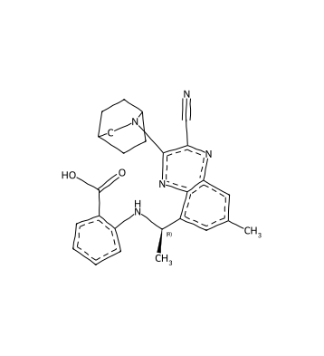 Cc1cc([C@@H](C)Nc2ccccc2C(=O)O)c2nc(N3CC4CCC3CC4)c(C#N)nc2c1